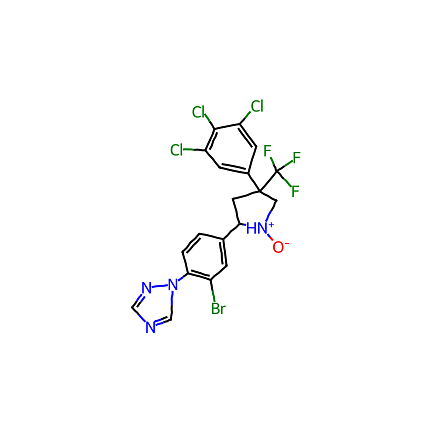 [O-][NH+]1CC(c2cc(Cl)c(Cl)c(Cl)c2)(C(F)(F)F)CC1c1ccc(-n2cncn2)c(Br)c1